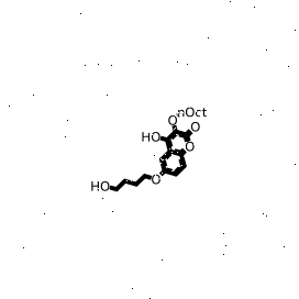 CCCCCCCCOc1c(O)c2cc(OCCCCO)ccc2oc1=O